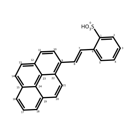 O=S(=O)(O)c1ccccc1C=Cc1ccc2ccc3cccc4ccc1c2c34